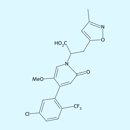 COc1cn(C(Cc2cc(C)no2)C(=O)O)c(=O)cc1-c1cc(Cl)ccc1C(F)(F)F